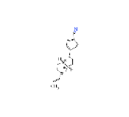 CC=C[C@@H]1CC[C@@H]2CC(c3ccc(C#N)cc3)CC[C@@H]2C1